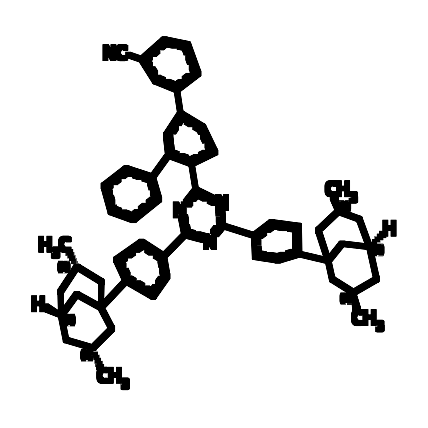 C[C@@H]1C[C@@H]2C[C@H](C)CC(c3ccc(-c4nc(-c5ccc(C67C[C@H](C)C[C@H](C[C@H](C)C6)C7)cc5)nc(-c5ccc(-c6cccc(C#N)c6)cc5-c5ccccc5)n4)cc3)(C1)C2